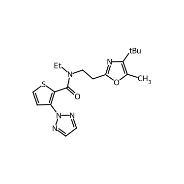 CCN(CCc1nc(C(C)(C)C)c(C)o1)C(=O)c1sccc1-n1nccn1